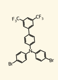 FC(F)(F)c1cc(-c2ccc(N(c3ccc(Br)cc3)c3ccc(Br)cc3)cc2)cc(C(F)(F)F)c1